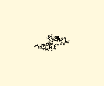 CCCn1cc(SN2CCC3=Cc4c(cnn4-c4ccc(F)cc4)CC3(C(=O)c3cscn3)C2)cn1